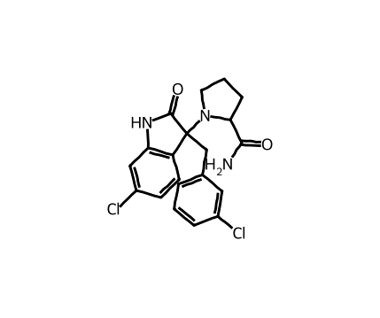 NC(=O)C1CCCN1C1(Cc2cccc(Cl)c2)C(=O)Nc2cc(Cl)ccc21